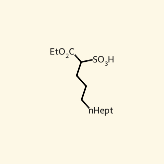 CCCCCCCCCCC(C(=O)OCC)S(=O)(=O)O